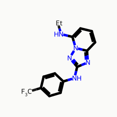 CCNc1cccc2nc(Nc3ccc(C(F)(F)F)cc3)nn12